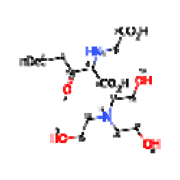 CCCCCCCCCCCC(=O)C(NCC(=O)O)C(=O)O.OCCN(CCO)CCO